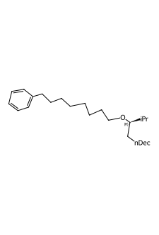 CCCCCCCCCCC[C@@H](OCCCCCCCCc1ccccc1)C(C)C